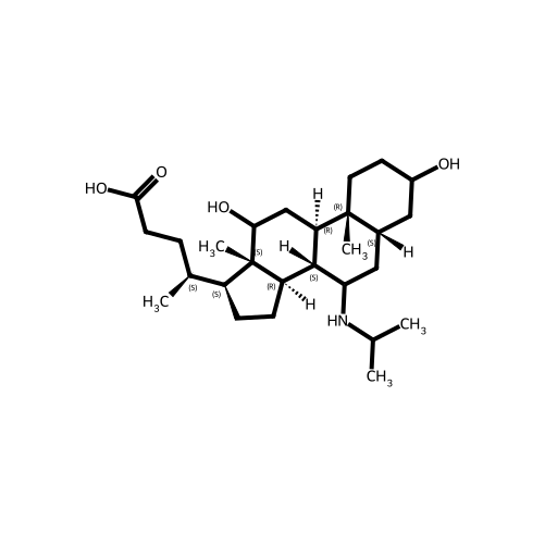 CC(C)NC1C[C@H]2CC(O)CC[C@@]2(C)[C@@H]2CC(O)[C@]3(C)[C@H](CC[C@H]3[C@@H](C)CCC(=O)O)[C@@H]12